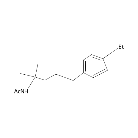 CCc1ccc(CCCC(C)(C)NC(C)=O)cc1